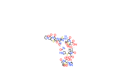 CC1(C)[C@H](C(=O)O)N2C(=O)C[C@H]2S1(=O)=O.CO/N=C(\C(=O)N[C@@H]1C(=O)N2C(C(=O)[O-])=C(C[N+]3(C)CCCC3)CS[C@H]12)c1csc(N)n1.C[C@@H](O)[C@H]1C(=O)N2C(C(=O)O)=C(S[C@@H]3CN[C@H](C(=O)N(C)C)C3)[C@H](C)[C@H]12.C[C@]1(Cn2ccnn2)[C@H](C(=O)O)N2C(=O)C[C@H]2S1(=O)=O